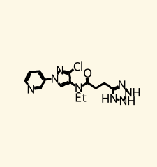 CCN(C(=O)CCC1=NNNN1)c1cn(-c2cccnc2)nc1Cl